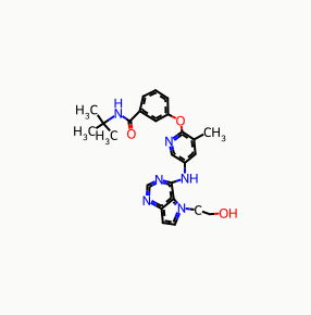 Cc1cc(Nc2ncnc3ccn(CCO)c23)cnc1Oc1cccc(C(=O)NC(C)(C)C)c1